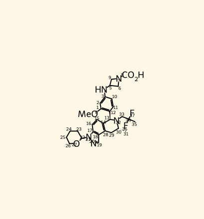 COc1cc(NC2CN(C(=O)O)C2)ccc1[C@@H]1c2ccc3c(cnn3C3CCCCO3)c2C[C@@H](C)N1CC(C)(F)F